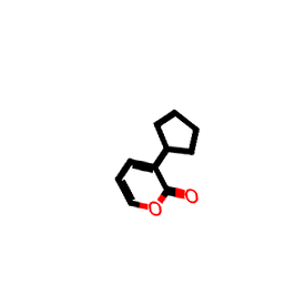 O=c1occcc1C1CCCC1